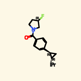 CC(C)[C@H]1C[C@@H]1c1ccc(C(=O)N2CC[C@@H](F)C2)cc1